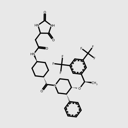 C[C@@H](O[C@H]1CCN(C(=O)[C@H]2CC[C@H](NC(=O)CC3NC(=O)NC3=O)CC2)C[C@H]1c1ccccc1)c1cc(C(F)(F)F)cc(C(F)(F)F)c1